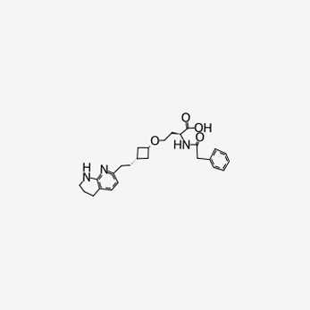 O=C(Cc1ccccc1)N[C@@H](CCO[C@H]1C[C@@H](CCc2ccc3c(n2)NCCC3)C1)C(=O)O